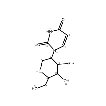 O=c1ccn(C2COC(CO)C(O)C2F)c(=O)[nH]1